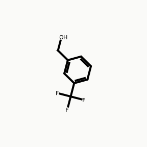 O[CH]c1cccc(C(F)(F)F)c1